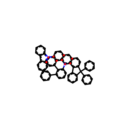 c1ccc(-c2ccccc2-c2c(-c3ccccc3)cccc2N(c2cccc(-n3c4ccccc4c4ccccc43)c2)c2cccc3c2-c2ccccc2C3(c2ccccc2)c2ccccc2)cc1